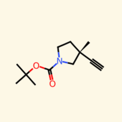 C#C[C@@]1(C)CCN(C(=O)OC(C)(C)C)C1